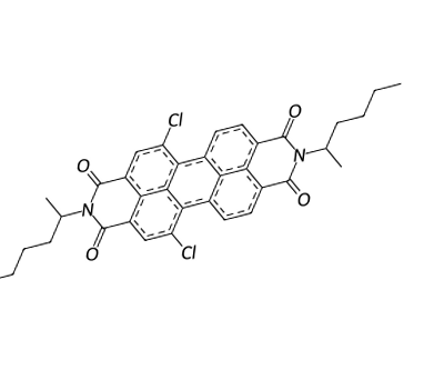 CCCCC(C)N1C(=O)c2ccc3c4c(Cl)cc5c6c(cc(Cl)c(c7ccc(c2c37)C1=O)c64)C(=O)N(C(C)CCCC)C5=O